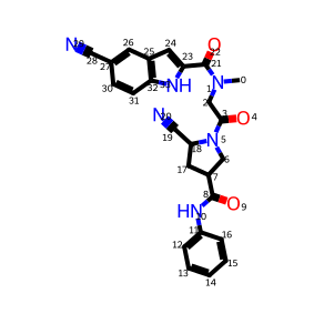 CN(CC(=O)N1CC(C(=O)Nc2ccccc2)CC1C#N)C(=O)c1cc2cc(C#N)ccc2[nH]1